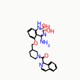 NC1=NS(O)(O)Nc2cccc(OCC3CCCN(C(=O)c4nccc5ccccc45)C3)c21